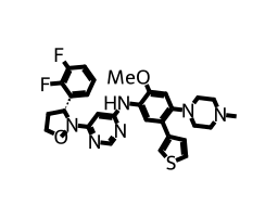 COc1cc(N2CCN(C)CC2)c(-c2ccsc2)cc1Nc1cc(N2OCC[C@@H]2c2cccc(F)c2F)ncn1